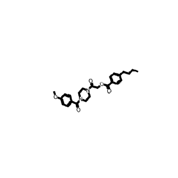 CCCCc1ccc(C(=O)OCC(=O)N2CCN(C(=O)c3ccc(OC)cc3)CC2)cc1